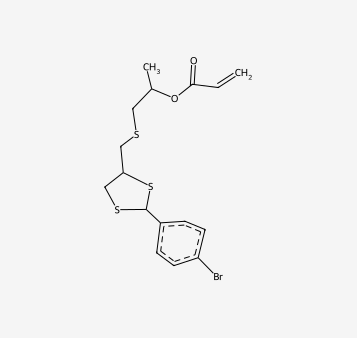 C=CC(=O)OC(C)CSCC1CSC(c2ccc(Br)cc2)S1